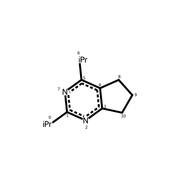 CC(C)c1nc2c(c(C(C)C)n1)CCC2